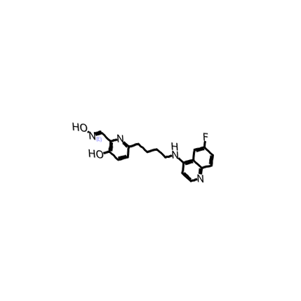 O/N=C/c1nc(CCCCNc2ccnc3ccc(F)cc23)ccc1O